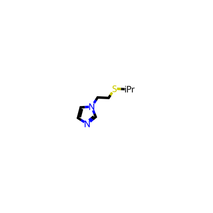 CC(C)SCCn1ccnc1